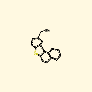 CC(C)(C)Cc1ccc2sc3ccc4ccccc4c3c2c1